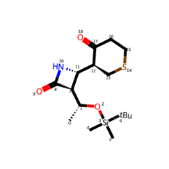 C[C@@H](O[Si](C)(C)C(C)(C)C)[C@H]1C(=O)N[C@@H]1[C@@H]1CSCCC1=O